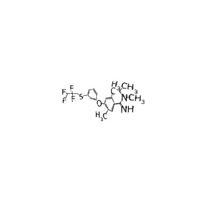 CCN(C)C(=N)c1cc(C)c(Oc2cccc(SCC(F)(F)C(F)F)c2)cc1C